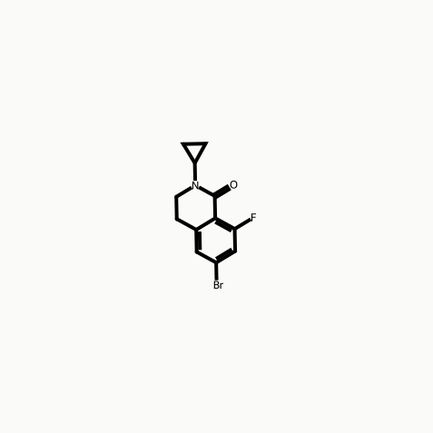 O=C1c2c(F)cc(Br)cc2CCN1C1CC1